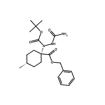 CC(C)(C)OC(=O)N(NC(N)=O)[C@]1(C(=O)OCc2ccccc2)CC[C@H](C)CC1